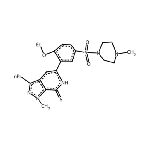 CCCc1nn(C)c2c(=S)[nH]c(-c3cc(S(=O)(=O)N4CCN(C)CC4)ccc3OCC)cc12